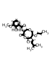 CCCO[C@H]1COC[C@H](NC(=O)c2nccc(OC)c2O)C(=O)O[C@@H](C)[C@@H]1CCC(C)C